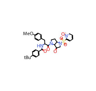 COc1ccc(CC(NC(=O)c2ccc(C(C)(C)C)cc2)C(=O)N2CCC3C2C(=O)CN3S(=O)(=O)c2cccc[n+]2[O-])cc1